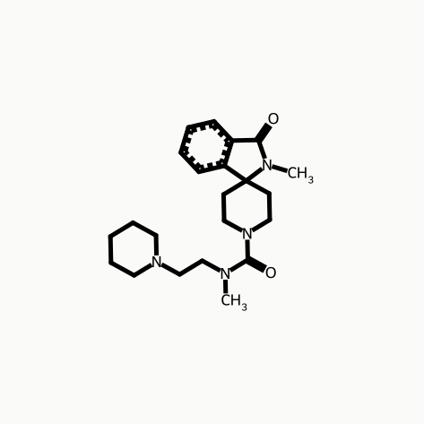 CN(CCN1CCCCC1)C(=O)N1CCC2(CC1)c1ccccc1C(=O)N2C